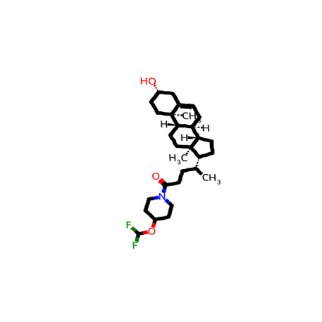 CC(CCC(=O)N1CCC(OC(F)F)CC1)[C@H]1CC[C@H]2[C@@H]3CC=C4C[C@@H](O)CC[C@]4(C)[C@H]3CC[C@]12C